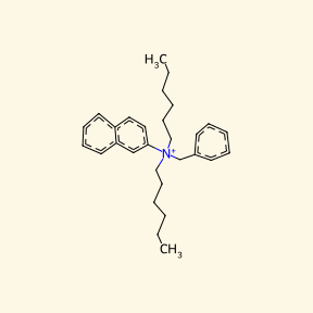 CCCCCC[N+](CCCCCC)(Cc1ccccc1)c1ccc2ccccc2c1